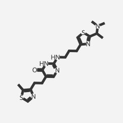 Cc1scnc1CCc1cnc(NCCCc2csc(C(C)N(C)C)n2)[nH]c1=O